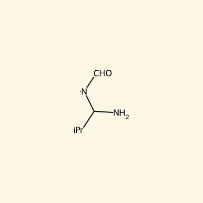 CC(C)C(N)[N]C=O